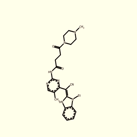 CCN1/C(=C(\C#N)c2nc(NC(=O)CCC(=O)N3CCN(C)CC3)ncc2C)Nc2ccccc21